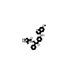 COc1ccc2c(Nc3ccc(C(=O)C(CNC(=O)C4=C(C)NNC4)c4ccccc4)cc3)ccnc2c1